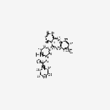 O=C(C[C@H]1CN(C2=Nc3cc(Cl)ccc3Oc3ccccc32)CCN1)N1CCOCC1